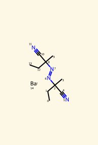 CCC(C)(C#N)N=NC(C)(C#N)CC.[Ba]